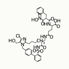 CCCCc1nc(Cl)c(CO)n1Cc1ccc(-c2ccccc2S(=O)(=O)NC(=O)CCNC(=O)CCC(NC(=O)C(Cc2ccccc2)C(=O)NO)C(=O)O)cc1